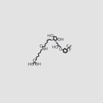 O=C(CCC/C=C\C[C@@H]1[C@@H](/C=C/[C@@H](O)COc2cccc(C(F)(F)F)c2)[C@H](O)C[C@@H]1O)NCCCCCCON(O)O